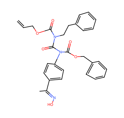 C=CCOC(=O)N(CCc1ccccc1)C(=O)N(C(=O)OCc1ccccc1)c1ccc(C(C)=NO)cc1